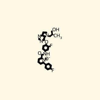 C[C@H](CO)Cn1ccc2ncnc(Oc3ccc(NC(=O)c4cccc(-c5ccc(F)cc5)[n+]4[O-])cc3F)c21